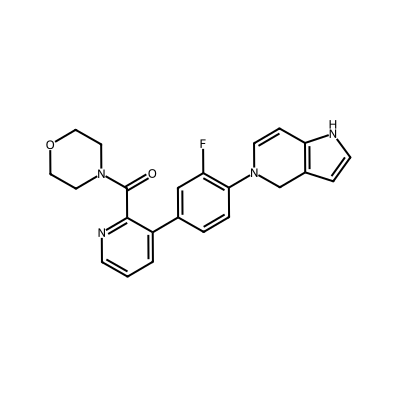 O=C(c1ncccc1-c1ccc(N2C=Cc3[nH]ccc3C2)c(F)c1)N1CCOCC1